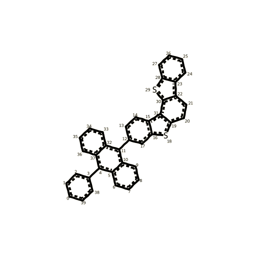 c1ccc(-c2c3ccccc3c(-c3ccc4c(c3)sc3ccc5c6ccccc6sc5c34)c3ccccc23)cc1